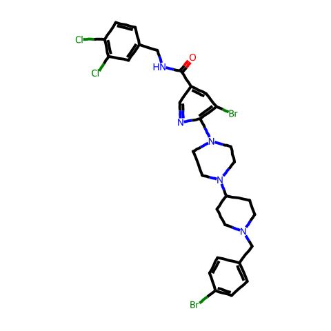 O=C(NCc1ccc(Cl)c(Cl)c1)c1cnc(N2CCN(C3CCN(Cc4ccc(Br)cc4)CC3)CC2)c(Br)c1